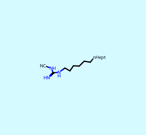 CCCCCCCCCCCCCNC(=N)NC#N